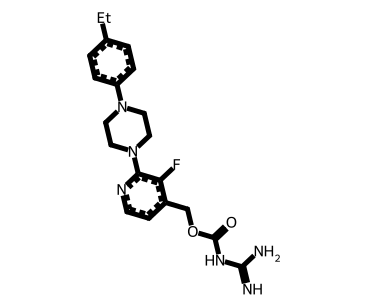 CCc1ccc(N2CCN(c3nccc(COC(=O)NC(=N)N)c3F)CC2)cc1